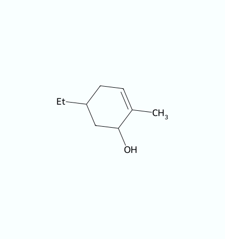 CCC1CC=C(C)C(O)C1